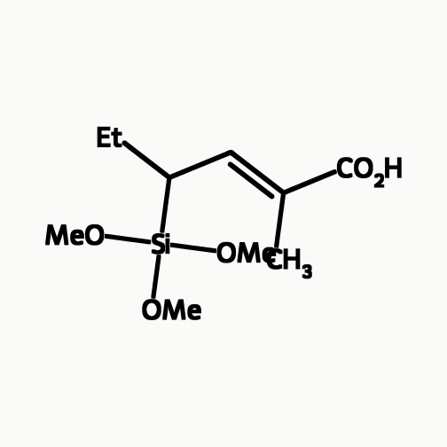 CCC(/C=C(\C)C(=O)O)[Si](OC)(OC)OC